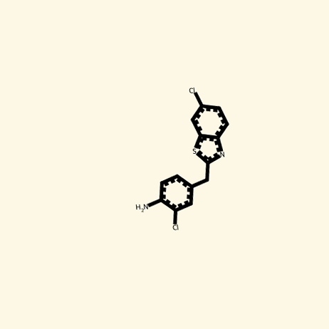 Nc1ccc(Cc2nc3ccc(Cl)cc3s2)cc1Cl